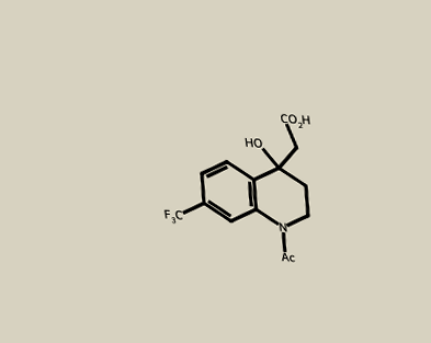 CC(=O)N1CCC(O)(CC(=O)O)c2ccc(C(F)(F)F)cc21